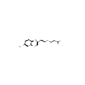 CC(O)CCC/C=C/c1cnc2cc(O)ccc2n1